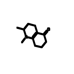 CC1CCC2=C(CCCC2=O)N1C